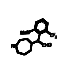 CNc1cccc(C(F)(F)F)c1N(C=O)C1CCCNCC1